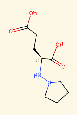 O=C(O)CC[C@H](NN1CCCC1)C(=O)O